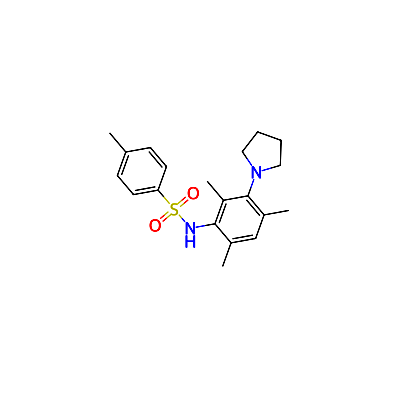 Cc1ccc(S(=O)(=O)Nc2c(C)cc(C)c(N3CCCC3)c2C)cc1